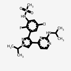 CC(C)Nc1nccc(-c2cn(C(C)C)nc2-c2cc(Cl)cc(NS(C)(=O)=O)c2F)n1